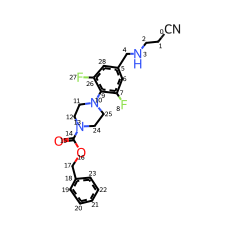 N#CCCNCc1cc(F)c(N2CCN(C(=O)OCc3ccccc3)CC2)c(F)c1